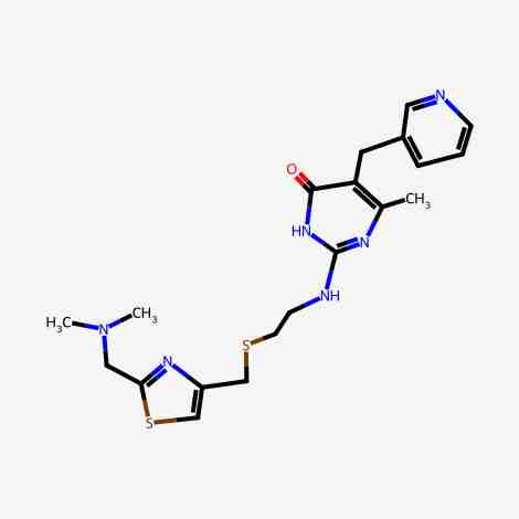 Cc1nc(NCCSCc2csc(CN(C)C)n2)[nH]c(=O)c1Cc1cccnc1